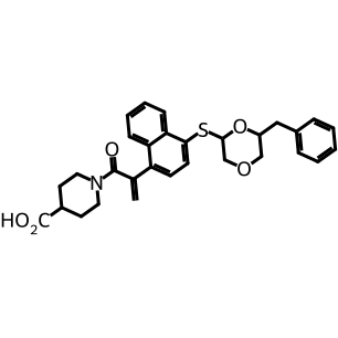 C=C(C(=O)N1CCC(C(=O)O)CC1)c1ccc(SC2COCC(Cc3ccccc3)O2)c2ccccc12